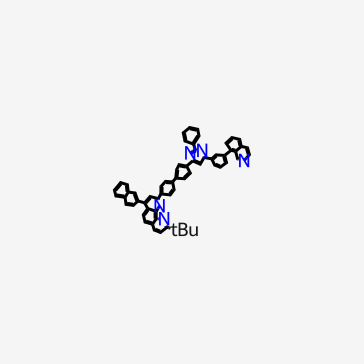 CC(C)(C)c1ccc2ccc3c(-c4ccc5ccccc5c4)cc(-c4ccc(-c5ccc(-c6cc(-c7cccc(-c8cccc9ccncc89)c7)nc(-c7ccccc7)n6)cc5)cc4)nc3c2n1